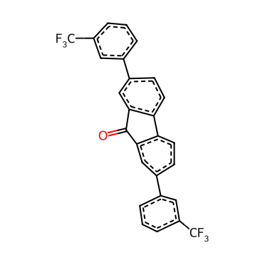 O=C1c2cc(-c3cccc(C(F)(F)F)c3)ccc2-c2ccc(-c3cccc(C(F)(F)F)c3)cc21